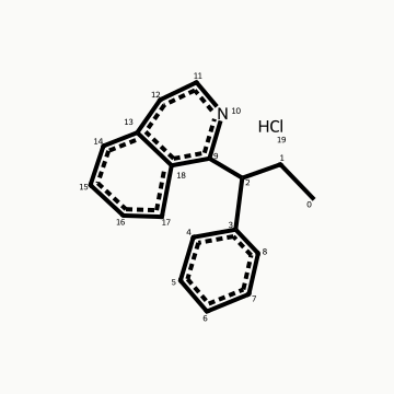 CCC(c1ccccc1)c1nccc2ccccc12.Cl